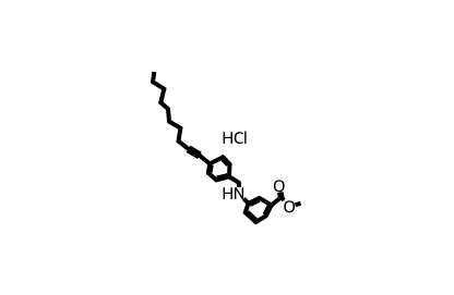 CCCCCCCCC#Cc1ccc(CNc2cccc(C(=O)OC)c2)cc1.Cl